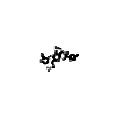 CC(C)C[C@H](NC(=O)C12CC(C)(CO1)C2)C(=O)N[C@@H](C[C@@H]1CCNC1=O)C(=O)COC(F)(F)F